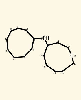 C1CCCCC(PC2CCCCCCCC2)CCC1